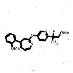 COCC(F)(P)c1ccc(OC2=NC=CC=C(c3ccccc3OC)C2)cn1